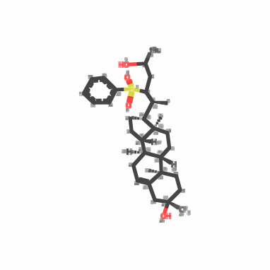 C[C@H](C(CC(O)C(C)(C)C)S(=O)(=O)c1ccccc1)[C@H]1CC[C@H]2[C@@H]3CC=C4C[C@](O)(C(F)(F)F)CC[C@]4(C)[C@H]3CC[C@]12C